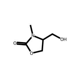 CN1C(=O)OCC1CO